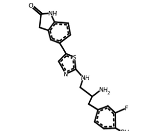 NC(CNc1ncc(-c2ccc3c(c2)CC(=O)N3)s1)Cc1ccc(O)c(F)c1